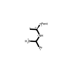 BC(N[C@@H](C)CCCCC)C(C)C